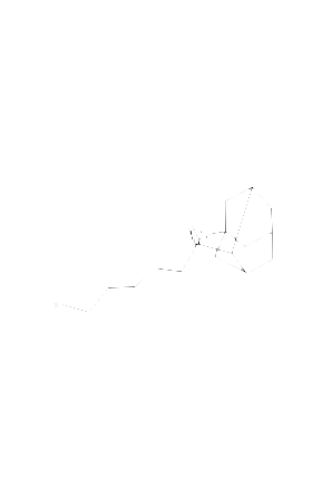 NC12CC3CC(C1)C(C(=O)CCCCCBr)C(C3)C2